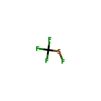 FSC(F)(F)F